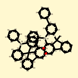 CC1(C)c2ccccc2-c2cccc(N(c3cccc(-c4ccccc4)c3)c3ccccc3-c3cccc4c3C3(c5ccccc5-4)c4ccccc4N(c4ccccc4)c4ccccc43)c21